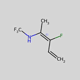 C=C/C(F)=C(/C)NC(F)(F)F